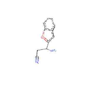 N#CCC(N)c1cc2ccccc2o1